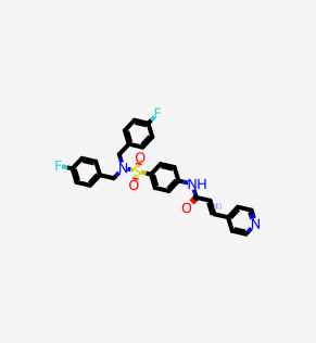 O=C(/C=C/c1ccncc1)Nc1ccc(S(=O)(=O)N(Cc2ccc(F)cc2)Cc2ccc(F)cc2)cc1